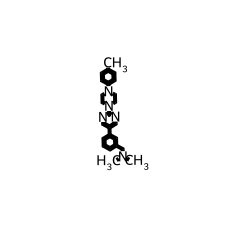 Cc1ccc(N2CCN(c3ncc(-c4cccc(CN(C)C)c4)cn3)CC2)cc1